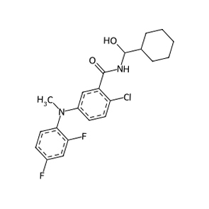 CN(c1ccc(Cl)c(C(=O)NC(O)C2CCCCC2)c1)c1ccc(F)cc1F